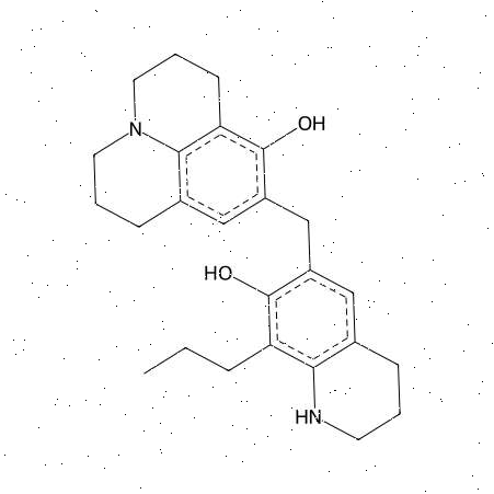 CCCc1c(O)c(Cc2cc3c4c(c2O)CCCN4CCC3)cc2c1NCCC2